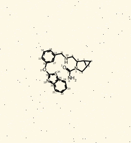 NC(=O)N1CC2CC2C1CNCc1cccc(Oc2nc3ccccc3s2)c1